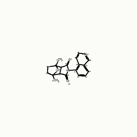 CC12CCC(C)(O1)C1C(=O)N(c3cccc4cnccc34)C(=O)C12